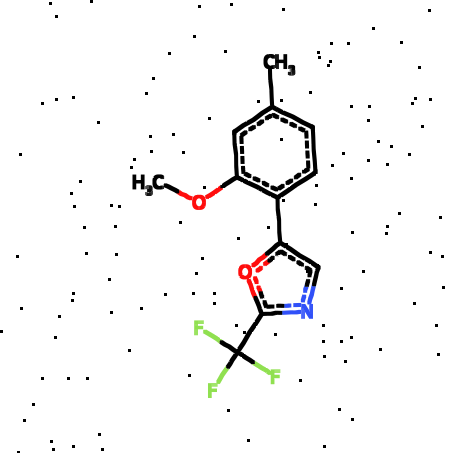 COc1cc(C)ccc1-c1cnc(C(F)(F)F)o1